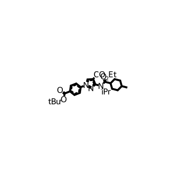 CCOC(=O)c1cn(-c2ccc(C(=O)OC(C)(C)C)cc2)nc1N(C(=O)C1CCC(C)CC1)C(C)C